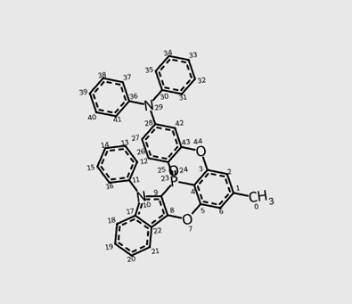 Cc1cc2c3c(c1)Oc1c(n(-c4ccccc4)c4ccccc14)P3(=O)c1ccc(N(c3ccccc3)c3ccccc3)cc1O2